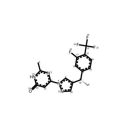 Cc1nc(-n2cc([C@@H](C)c3ccc(C(F)(F)F)c(F)c3)cn2)cc(=O)[nH]1